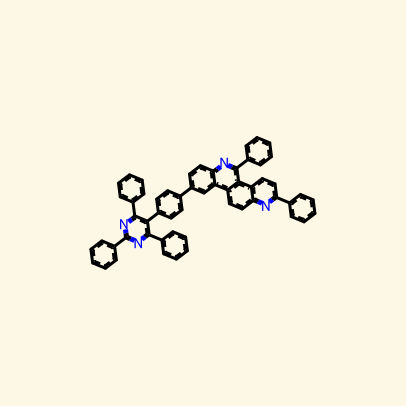 c1ccc(-c2ccc3c(ccc4c5cc(-c6ccc(-c7c(-c8ccccc8)nc(-c8ccccc8)nc7-c7ccccc7)cc6)ccc5nc(-c5ccccc5)c34)n2)cc1